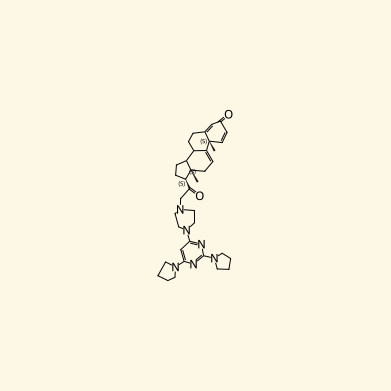 C[C@]12C=CC(=O)C=C1CCC1C2=CC[C@@]2(C)C1CC[C@@H]2C(=O)CN1CCN(c2cc(N3CCCC3)nc(N3CCCC3)n2)CC1